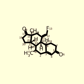 C[C@@H]1CC2=CC(=O)CC[C@@H]2[C@H]2C(=CF)C[C@]3(C)C(=O)CC[C@H]3[C@@H]21